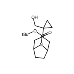 CC(C)(C)OC(=O)N1C2CCC1CN(C1(CO)CC1)C2